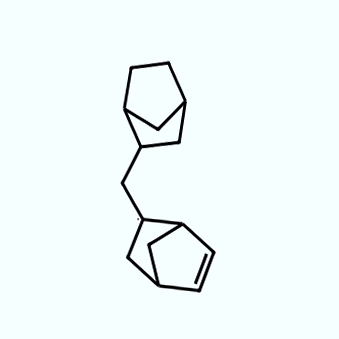 C1=CC2CC1C[C]2CC1CC2CCC1C2